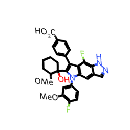 COc1cc(-n2c(C3(O)CCCCC3OC)c(-c3ccc(C(=O)O)cc3)c3c(F)c4[nH]ncc4cc32)ccc1F